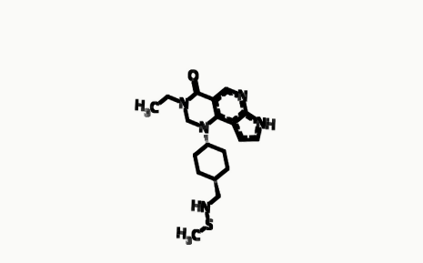 CCN1CN([C@H]2CC[C@H](CNSC)CC2)c2c(cnc3[nH]ccc23)C1=O